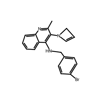 Cc1nc2ccccc2c(NCc2ccc(Br)cc2)c1N1C=CC1